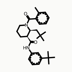 Cc1ccccc1C(=O)N1CCC[C@H](C(=O)Nc2cccc(C(C)(C)C)c2)[C@@H]1CC(C)(C)C